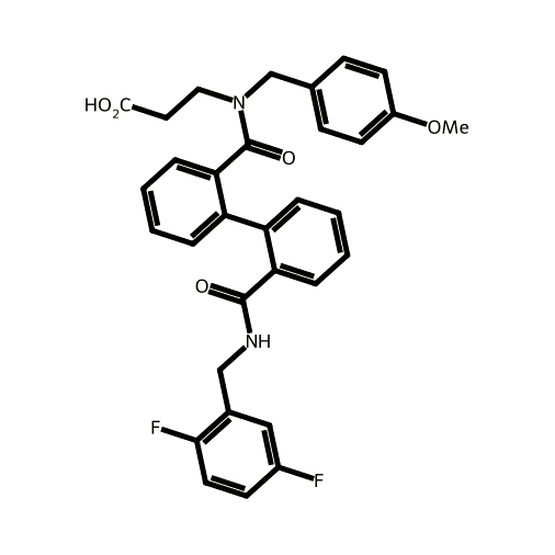 COc1ccc(CN(CCC(=O)O)C(=O)c2ccccc2-c2ccccc2C(=O)NCc2cc(F)ccc2F)cc1